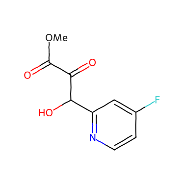 COC(=O)C(=O)C(O)c1cc(F)ccn1